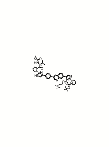 COC(=O)N[C@H](C(=O)N1CCC[C@H]1c1nc(-c2ccc(-c3cnc4cc(-c5cnc([C@@H]6CCCN6C(=O)OC(C)(C)C)n5COCC[Si](C)(C)C)ccc4c3)cc2)c[nH]1)C(C)C